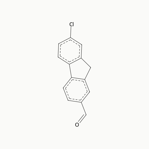 O=Cc1ccc2c(c1)Cc1cc(Cl)ccc1-2